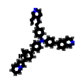 C/C=c1/cncc/c1=C/Cc1ccc(N(c2ccc(C3=CC=C(c4cc5ccccn5c4)[C@@H]4C=C34)cc2)c2ccc(-c3ccc4cnccc4c3)cc2)cc1